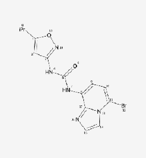 CC(C)c1cc(NC(=O)Nc2ccc(Br)n3ccnc23)no1